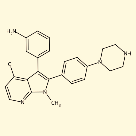 Cn1c(-c2ccc(N3CCNCC3)cc2)c(-c2cccc(N)c2)c2c(Cl)ccnc21